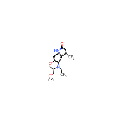 CCCOCC1COc2cc3[nH]c(=O)cc(C(F)(F)F)c3cc2N1CC(F)(F)F